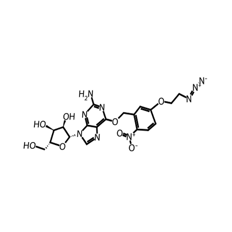 [N-]=[N+]=NCCOc1ccc([N+](=O)[O-])c(COc2nc(N)nc3c2ncn3[C@@H]2O[C@H](CO)[C@@H](O)[C@H]2O)c1